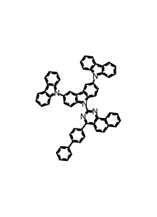 c1ccc(-c2ccc(-c3nc(-n4c5ccc(-n6c7ccccc7c7ccccc76)cc5c5cc(-n6c7ccccc7c7ccccc76)ccc54)nc4c3ccc3ccccc34)cc2)cc1